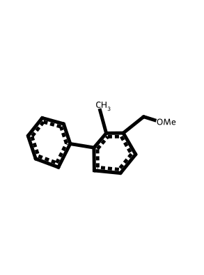 COCc1cccc(-c2ccccc2)c1C